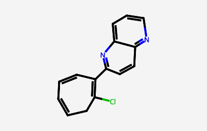 ClC1=C(c2ccc3ncccc3n2)C=CC=CC1